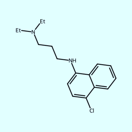 CCN(CC)CCCNc1ccc(Cl)c2ccccc12